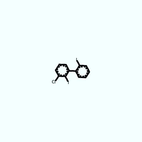 Clc1cccc(-c2ccccc2I)c1I